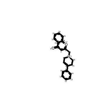 O=c1cc(CN2CC=C(c3ccccc3)CC2)oc2ccccc12